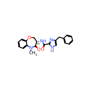 CN1C(=O)[C@@H](NC(=O)c2nc(Cc3ccccc3)c[nH]2)COc2ccccc21